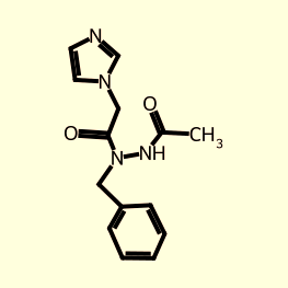 CC(=O)NN(Cc1ccccc1)C(=O)Cn1ccnc1